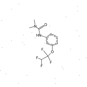 CN(C)C(=O)Nc1cccc(OC(F)(F)C(F)F)c1